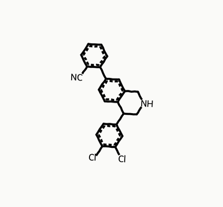 N#Cc1ccccc1-c1ccc2c(c1)CNCC2c1ccc(Cl)c(Cl)c1